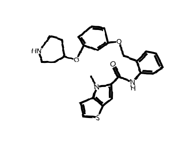 Cn1c(C(=O)Nc2ccccc2COc2cccc(OC3CCNCC3)c2)cc2sccc21